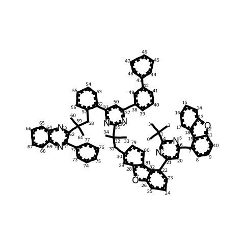 CC(C)(C)c1nc(-c2cccc3oc4ccccc4c23)cc(-c2cccc3oc4cc(CC(C)(C)c5nc(-c6cccc(-c7ccccc7)c6)cc(-c6ccccc6CC(C)(C)c6nc7ccccc7nc6-c6ccccc6)n5)ccc4c23)n1